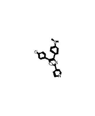 CN(C)c1ccc(-c2nc(-c3ccncc3)oc2-c2ccc(Cl)cc2)cc1